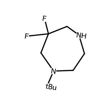 CC(C)(C)N1CCNCC(F)(F)C1